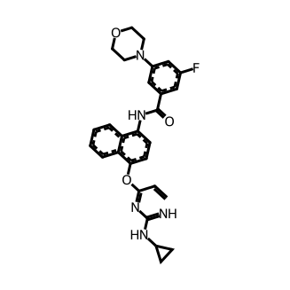 C=C/C(=N\C(=N)NC1CC1)Oc1ccc(NC(=O)c2cc(F)cc(N3CCOCC3)c2)c2ccccc12